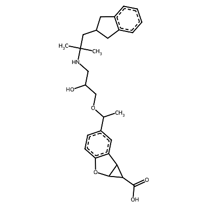 CC(OCC(O)CNC(C)(C)CC1Cc2ccccc2C1)c1ccc2c(c1)C1C(O2)C1C(=O)O